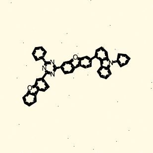 c1ccc(-c2nc(-c3ccc4c(c3)oc3ccccc34)nc(-c3ccc4c(c3)oc3cc(-c5cccc6c5c5ccccc5n6-c5ccccc5)ccc34)n2)cc1